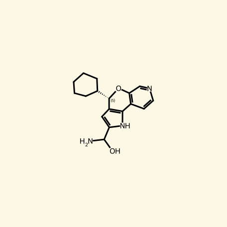 NC(O)c1cc2c([nH]1)-c1ccncc1O[C@H]2C1CCCCC1